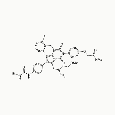 CCNC(=O)Nc1ccc(-c2sc3c(c2CN(C)CCOC)c(=O)n(-c2ccc(OCC(=O)NC)cc2)c(=O)n3Cc2c(F)cccc2F)cc1